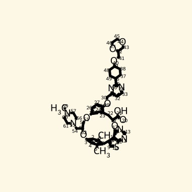 Cc1cc2cc(C)c1-c1csc3ncnc(c13)OC(C(=O)O)Cc1cc(ccc1OCc1ccnc(C3CCC(OCC4COCCO4)CC3)n1)OCC(CN1CCN(C)CC1)O2